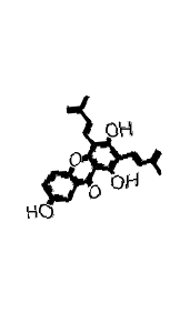 C=C(C)C=Cc1c(O)c(C=CC(=C)C)c2oc3ccc(O)cc3c(=O)c2c1O